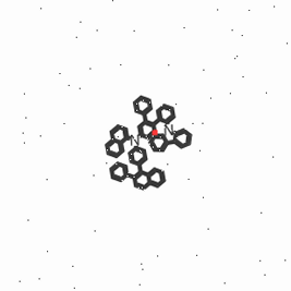 c1ccc(-c2cc(N(c3ccc(-c4c(-c5ccccc5)ccc5ccccc45)cc3)c3cccc4ccccc34)ccc2-c2ccccc2-n2c3ccccc3c3ccccc32)cc1